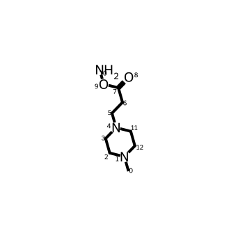 CN1CCN(CCC(=O)ON)CC1